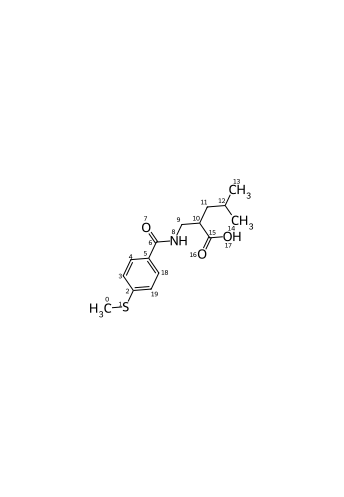 CSc1ccc(C(=O)NCC(CC(C)C)C(=O)O)cc1